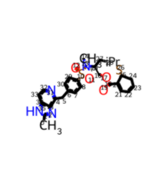 Cc1nc2c(Cc3ccc(S(=O)(=O)N(C)[C@H](COC(=O)C4=CC=CCC4=S)CC(C)C)cc3)nccc2[nH]1